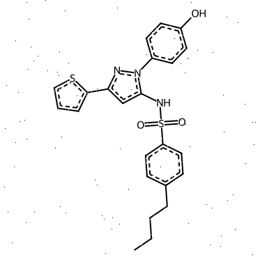 CCCCc1ccc(S(=O)(=O)Nc2cc(-c3cccs3)nn2-c2ccc(O)cc2)cc1